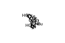 CC[C@H](C)[C@H](NC(=O)[C@@H]1CS[C@@H](c2ccc(O)cc2)N1C(=O)CSc1cccnc1)C(=O)O